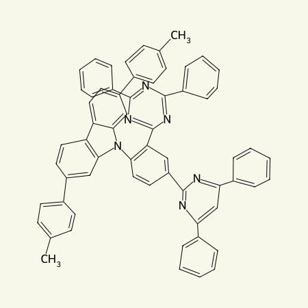 Cc1ccc(-c2ccc3c4ccc(-c5ccc(C)cc5)cc4n(-c4ccc(-c5nc(-c6ccccc6)cc(-c6ccccc6)n5)cc4-c4nc(-c5ccccc5)nc(-c5ccccc5)n4)c3c2)cc1